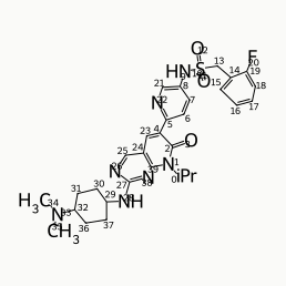 CC(C)n1c(=O)c(-c2ccc(NS(=O)(=O)Cc3ccccc3F)cn2)cc2cnc(NC3CCC(N(C)C)CC3)nc21